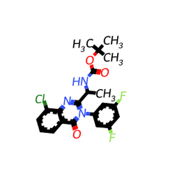 CC(NC(=O)OC(C)(C)C)c1nc2c(Cl)cccc2c(=O)n1-c1cc(F)cc(F)c1